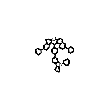 c1ccc(-c2ccc3c4c(ccc3c2)Oc2ccc3cc(-c5ccccc5)ccc3c2C4c2ccc(-c3ccc4c5ccccc5n(-c5ccccc5)c4c3)cc2)cc1